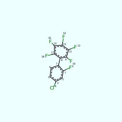 Fc1cc(Cl)ccc1-c1c(F)c(F)c(F)c(F)c1F